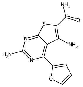 NC(=O)c1sc2nc(N)nc(-c3ccco3)c2c1N